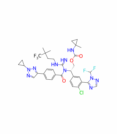 CC1(NC(=O)OC[C@H](c2ccc(Cl)c(-c3ncnn3C(F)F)c2)N(C(=N)NCCC(C)(C)C(F)(F)F)C(=O)c2ccc(-c3cnn(C4CC4)n3)cc2)CC1